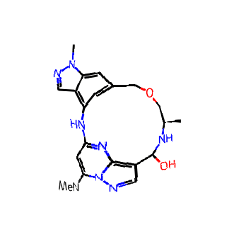 CNc1cc2nc3c(cnn13)C(O)N[C@H](C)COCc1cc(c3cnn(C)c3c1)N2